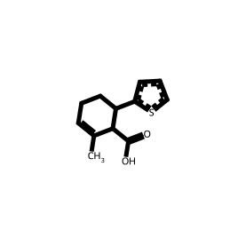 CC1=CCCC(c2cccs2)C1C(=O)O